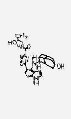 CC(O)CNC(=O)c1noc(-c2cnc3[nH]ccc3c2N[C@H]2C3CC4CC2C[C@@](O)(C4)C3)n1